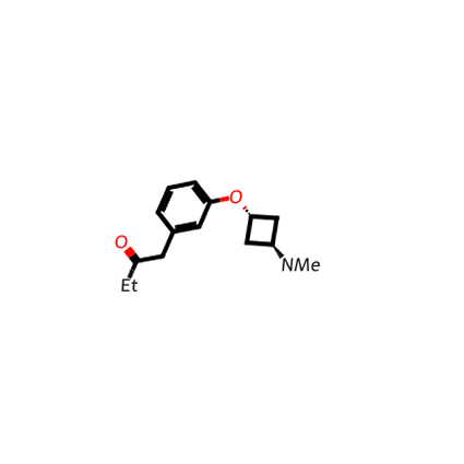 CCC(=O)Cc1cccc(O[C@H]2C[C@H](NC)C2)c1